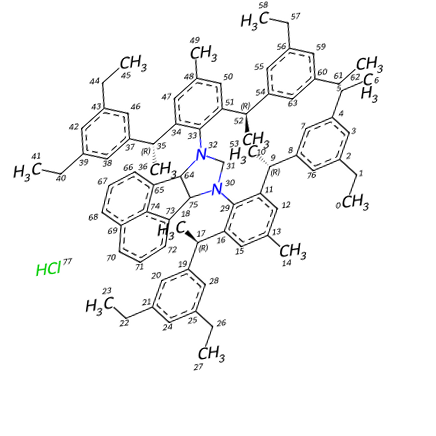 CCc1cc(CC)cc([C@@H](C)c2cc(C)cc([C@H](C)c3cc(CC)cc(CC)c3)c2N2CN(c3c([C@H](C)c4cc(CC)cc(CC)c4)cc(C)cc3[C@H](C)c3cc(CC)cc(CC)c3)C3c4cccc5cccc(c45)C32)c1.Cl